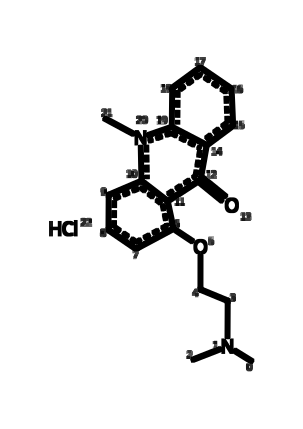 CN(C)CCOc1cccc2c1c(=O)c1ccccc1n2C.Cl